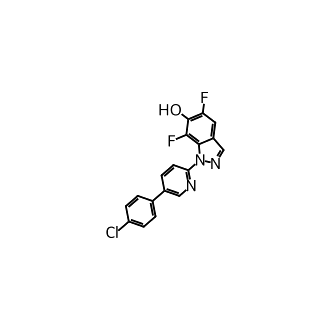 Oc1c(F)cc2cnn(-c3ccc(-c4ccc(Cl)cc4)cn3)c2c1F